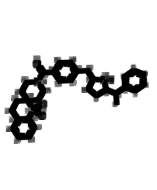 CC(c1ccccc1)C1CCC(Cc2ccc(C(=O)N3CCC4(CCc5ccccc5S4(=O)=O)CC3)cc2)N1